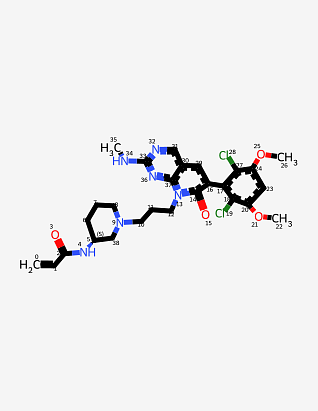 C=CC(=O)N[C@H]1CCCN(CCCn2c(=O)c(-c3c(Cl)c(OC)cc(OC)c3Cl)cc3cnc(NC)nc32)C1